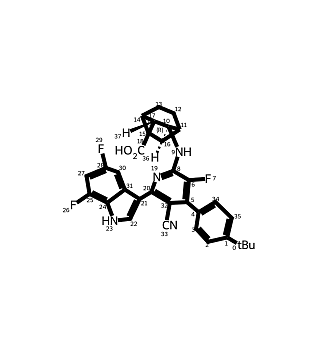 CC(C)(C)c1ccc(-c2c(F)c(N[C@@H]3C4CCC(CC4)[C@H]3C(=O)O)nc(-c3c[nH]c4c(F)cc(F)cc34)c2C#N)cc1